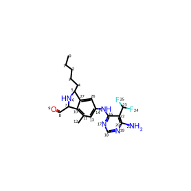 CCCCCC1NC(C=O)c2c(C)cc(Nc3ncnc(N)c3C(F)F)cc21